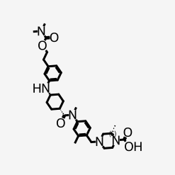 Cc1cc(N(C)C(=O)[C@H]2CC[C@H](Nc3cccc(CCOC(=O)N(C)C)c3)CC2)ccc1CN1CCN(C(=O)O)[C@@H](C)C1